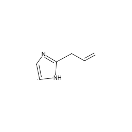 C=CCc1nc[c][nH]1